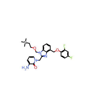 C[Si](C)(C)CCOCn1c(Cn2cccc(N)c2=O)nc2c(COc3ccc(F)cc3F)cccc21